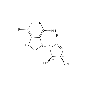 Nc1ncc(F)c2c1N([C@@H]1C(F)=C[C@@H](O)[C@H]1O)CN2